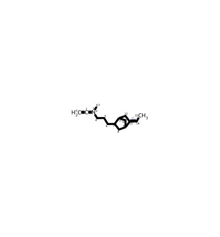 C=C=[N+](I)CCCC1CC2CC1C/C2=C\C